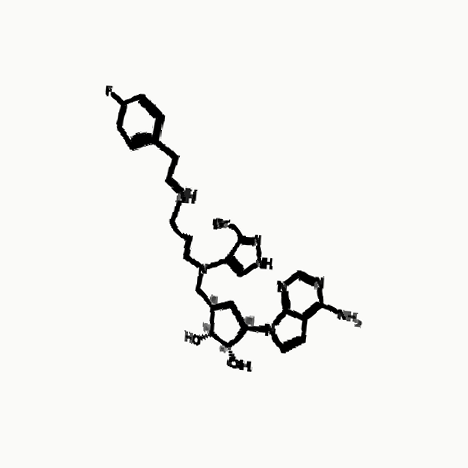 Nc1ncnc2c1ccn2[C@@H]1C[C@H](CN(CCCNCCc2ccc(F)cc2)c2c[nH]nc2Br)[C@@H](O)[C@H]1O